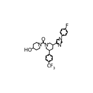 O=C(N1CCC(O)CC1)N1CC(c2ccc(C(F)(F)F)cc2)CC(c2cn(-c3ccc(F)cc3)cn2)C1